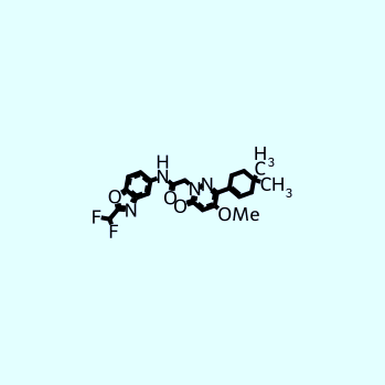 COc1cc(=O)n(CC(=O)Nc2ccc3oc(C(F)F)nc3c2)nc1C1=CCC(C)(C)CC1